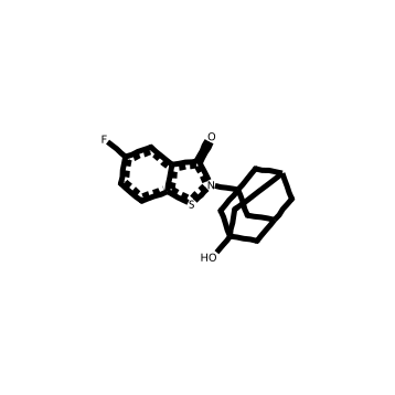 O=c1c2cc(F)ccc2sn1C12CC3CC(CC(O)(C3)C1)C2